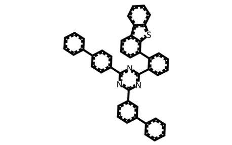 c1ccc(-c2ccc(-c3nc(-c4cccc(-c5ccccc5)c4)nc(-c4ccccc4-c4cccc5c4sc4ccccc45)n3)cc2)cc1